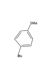 CCC(C)c1ccc(SC)cc1